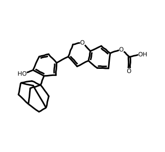 O=C(O)Oc1ccc2c(c1)OCC(c1ccc(O)c(C34CC5CC(CC(C5)C3)C4)c1)=C2